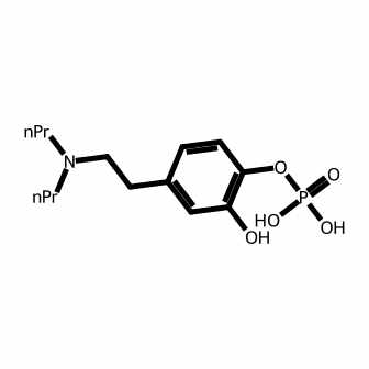 CCCN(CCC)CCc1ccc(OP(=O)(O)O)c(O)c1